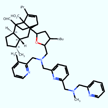 CCCCC1CC(C23C[C@@H]4[C@H](C)CC[C@H]4C4(C=O)CC2C=C(C(C)C)C34C(=O)O)OC1CN(Cc1cccc(CN(C)Cc2ccccn2)n1)Cc1ncccc1C